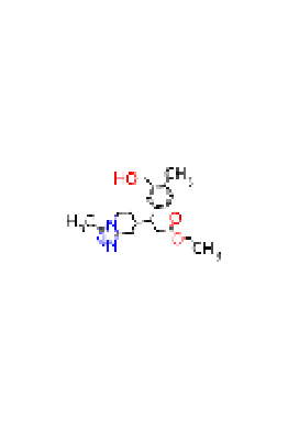 CCOC(=O)CC(c1ccc(C)c(CO)c1)c1ccn2c(C)nnc2c1